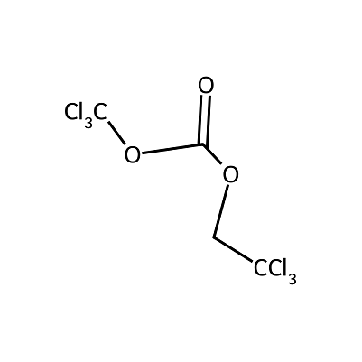 O=C(OCC(Cl)(Cl)Cl)OC(Cl)(Cl)Cl